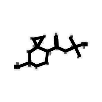 CC(C)(O)CC(=O)N1CCN(S)CC12CC2